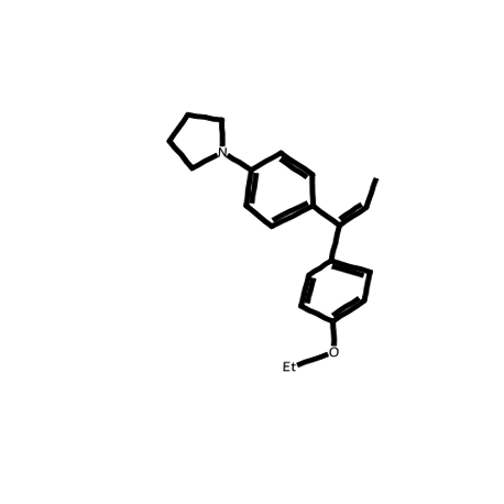 CC=C(c1ccc(OCC)cc1)c1ccc(N2CCCC2)cc1